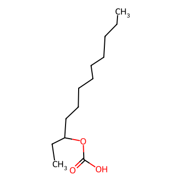 CCCCCCCCCC(CC)OC(=O)O